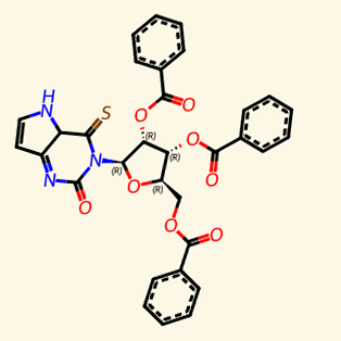 O=C(OC[C@H]1O[C@@H](N2C(=O)N=C3C=CNC3C2=S)[C@H](OC(=O)c2ccccc2)[C@@H]1OC(=O)c1ccccc1)c1ccccc1